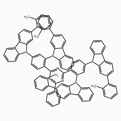 Cc1ccccc1-c1ccc2c3ccccc3n(-c3ccc(-c4nc(-c5ccccc5)nc(-c5ccc(-n6c7ccccc7c7ccc(-c8ccccc8C)cc76)cc5-n5c6ccccc6c6ccc(-c7ccccc7C)cc65)n4)c(-n4c5ccccc5c5ccc(-c6ccccc6C)cc54)c3)c2c1